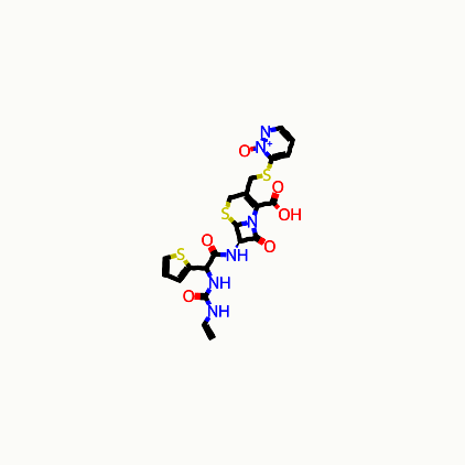 C=CNC(=O)NC(C(=O)N[C@H]1C(=O)N2C(C(=O)O)=C(CSc3cccn[n+]3[O-])CSC12)c1cccs1